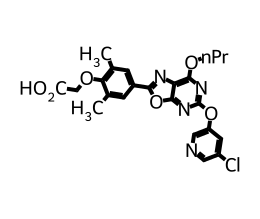 CCCOc1nc(Oc2cncc(Cl)c2)nc2oc(-c3cc(C)c(OCC(=O)O)c(C)c3)nc12